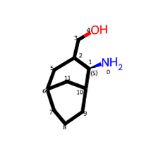 N[C@@H]1C(CO)CC2CCCC1C2